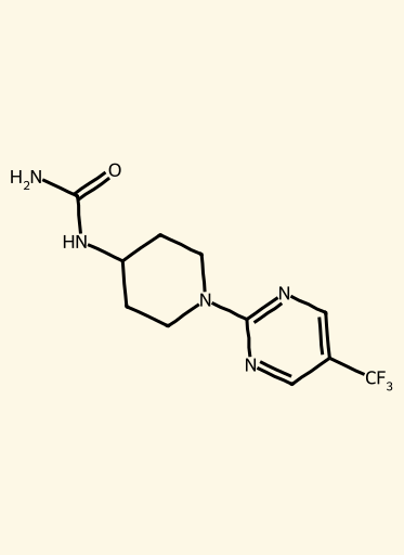 NC(=O)NC1CCN(c2ncc(C(F)(F)F)cn2)CC1